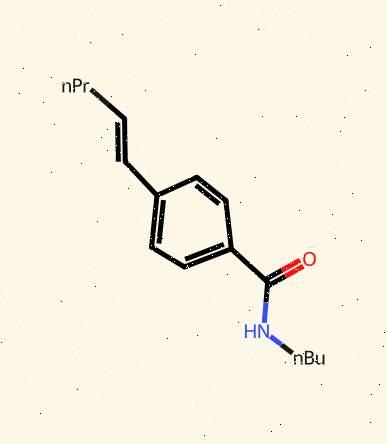 CCC/C=C/c1ccc(C(=O)NCCCC)cc1